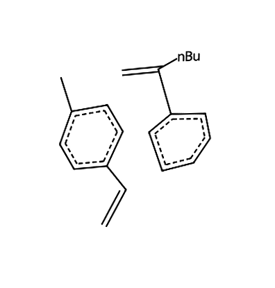 C=C(CCCC)c1ccccc1.C=Cc1ccc(C)cc1